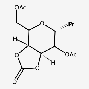 CC(=O)OCC1O[C@H](C(C)C)C(OC(C)=O)[C@H]2OC(=O)O[C@@H]12